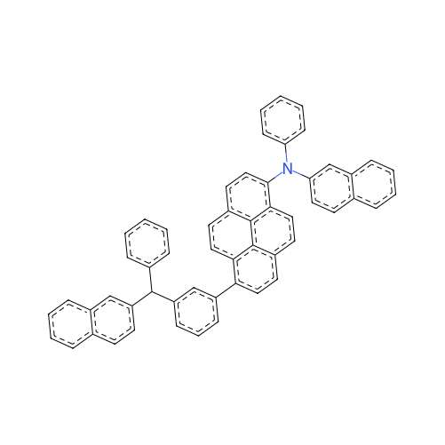 c1ccc(C(c2cccc(-c3ccc4ccc5c(N(c6ccccc6)c6ccc7ccccc7c6)ccc6ccc3c4c65)c2)c2ccc3ccccc3c2)cc1